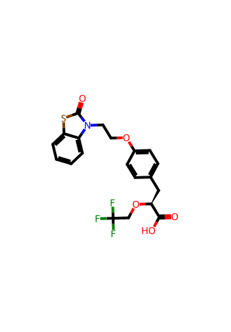 O=C(O)[C@H](Cc1ccc(OCCn2c(=O)sc3ccccc32)cc1)OCC(F)(F)F